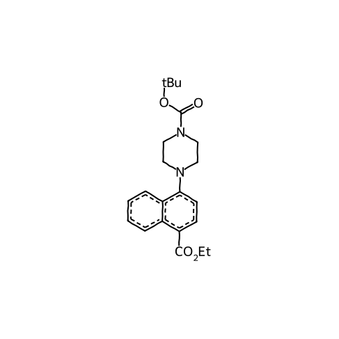 CCOC(=O)c1ccc(N2CCN(C(=O)OC(C)(C)C)CC2)c2ccccc12